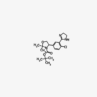 CC(C)(C)OC(=O)N1C(c2ccc(Cl)c(C3=NCCN3)c2)COC1(C)C